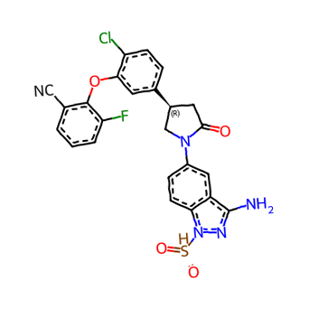 N#Cc1cccc(F)c1Oc1cc([C@H]2CC(=O)N(c3ccc4c(c3)c(N)nn4[SH](=O)=O)C2)ccc1Cl